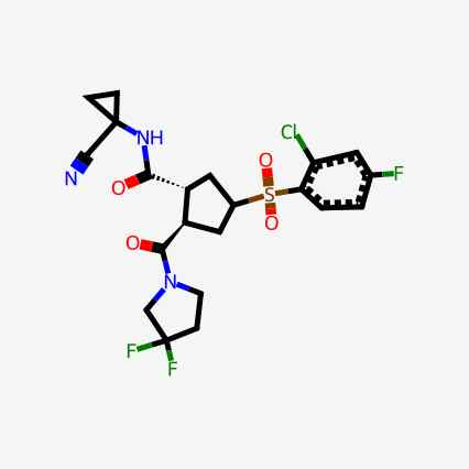 N#CC1(NC(=O)[C@@H]2CC(S(=O)(=O)c3ccc(F)cc3Cl)C[C@H]2C(=O)N2CCC(F)(F)C2)CC1